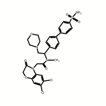 CN(C(=O)CN1C(=O)COc2cc(Cl)c(Cl)cc21)C(CN1CCOCC1)c1ccc(-c2ccc(S(N)(=O)=O)cc2)cc1